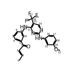 C/C=C/C(=O)c1cccc(Nc2nc(Nc3cccc(OC)c3)ncc2C(F)(F)F)c1